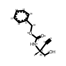 C#C[C@](C)(CO)NC(=O)OCc1ccccc1